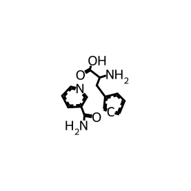 NC(=O)c1cccnc1.NC(Cc1ccccc1)C(=O)O